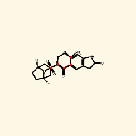 NC1CCC(S(=O)(=O)N2[C@@H]3CC[C@H]2C[C@H](NC(=O)c2cc4c(cc2Cl)NC(=O)C4)C3)CC1